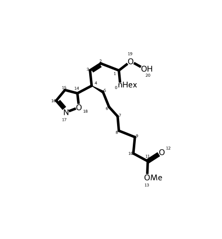 CCCCCCC(/C=C\[C@@H](CCCCCCC(=O)OC)C1CC=NO1)OO